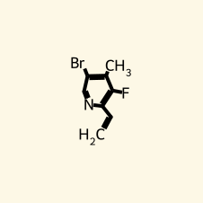 C=Cc1ncc(Br)c(C)c1F